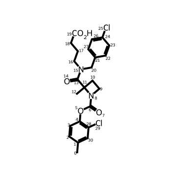 Cc1ccc(OC(=O)N2CCC2(C)C(=O)N(CCCC(=O)O)Cc2ccc(Cl)cc2)c(Cl)c1